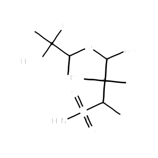 CCCC(OC(CCC)C(C)(C)C(C)S(N)(=O)=O)C(C)(CC)C(=O)O